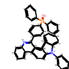 O=P(c1ccccc1)(c1ccccc1)c1ccc(-c2nc3ccccc3c3ccc4c(c5ccccc5n4-c4ccccc4)c23)cc1